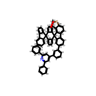 c1ccc(-c2cc(-c3cccc(-c4ccc5c(c4)C4(c6ccccc6C6(c7ccccc7-c7ccccc76)c6ccccc64)c4c-5ccc5sc6ccccc6c45)c3)cc(-c3ccccc3)n2)cc1